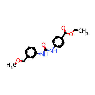 CCOC(=O)c1ccc(NC(=O)Nc2cccc(COC)c2)cc1